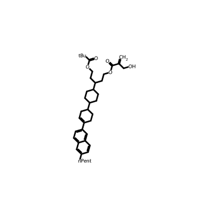 C=C(CO)C(=O)OCCC(CCOC(=O)C(C)(C)C)C1CCC(C2CC=C(c3ccc4cc(CCCCC)ccc4c3)CC2)CC1